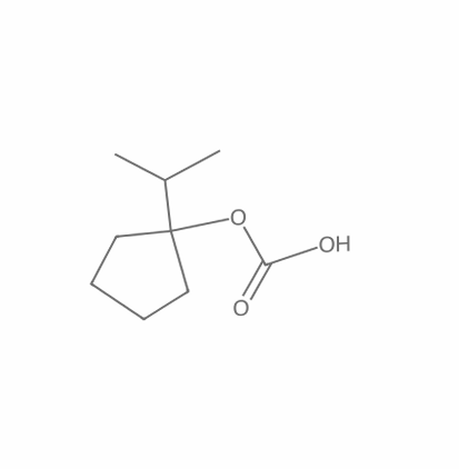 CC(C)C1(OC(=O)O)CCCC1